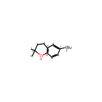 CC1(C)CCc2cc(C(C)(C)C)ccc2O1